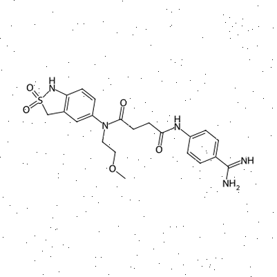 COCCN(C(=O)CCC(=O)Nc1ccc(C(=N)N)cc1)c1ccc2c(c1)CS(=O)(=O)N2